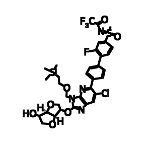 C[Si](C)(C)CCOCn1c(O[C@@H]2CO[C@H]3[C@@H]2OC[C@H]3O)nc2cc(Cl)c(-c3ccc(-c4ccc(S(C)(=O)=NC(=O)C(F)(F)F)cc4F)cc3)nc21